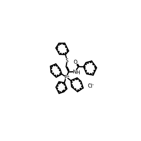 O=C(NC(=CSc1ccccc1)[P+](c1ccccc1)(c1ccccc1)c1ccccc1)c1ccccc1.[Cl-]